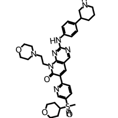 C[SH](=O)(c1ccc(-c2cc3cnc(Nc4ccc(C5CCCNC5)cc4)nc3n(CCN3CCOCC3)c2=O)nc1)C1CCOCC1